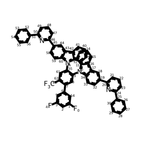 Fc1cc(F)cc(-c2cc(-n3c4ccccc4c4cc(-c5cccc(-c6ccccc6)n5)ccc43)c(-n3c4ccccc4c4cc(-c5cccc(-c6ccccc6)n5)ccc43)cc2C(F)(F)F)c1